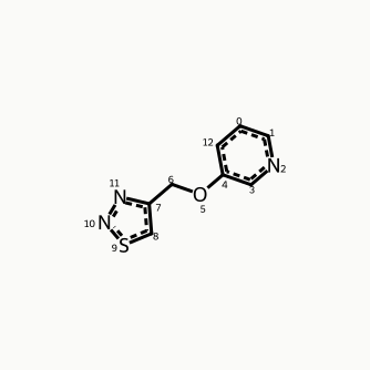 c1cncc(OCc2csnn2)c1